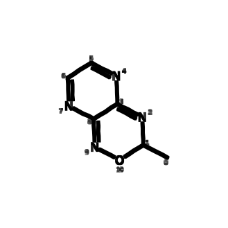 CC1N=c2nccnc2=NO1